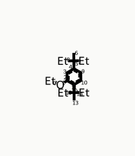 CCOc1cc(C(C)(CC)CC)ccc1C(C)(CC)CC